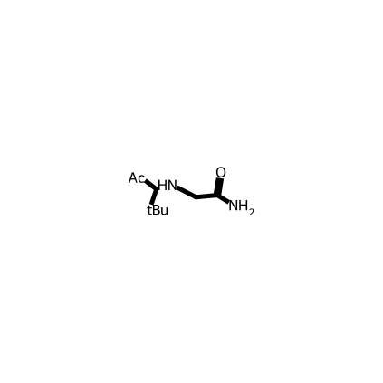 CC(=O)C(NCC(N)=O)C(C)(C)C